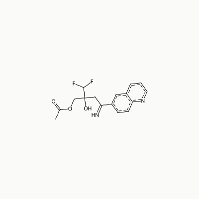 CC(=O)OCC(O)(CC(=N)c1ccc2ncccc2c1)C(F)F